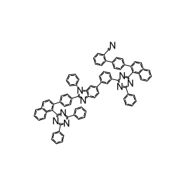 N#Cc1ccccc1-c1ccc(-c2ccc3ccccc3c2-c2nc(-c3ccccc3)nc(-c3cccc(-c4ccc5nc(-c6ccc(-c7ccc8ccccc8c7-c7nc(-c8ccccc8)nc(-c8ccccc8)n7)cc6)n(-c6ccccc6)c5c4)c3)n2)cc1